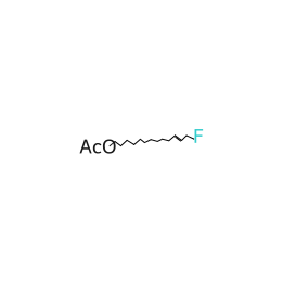 CC(=O)OCCCCCCCCCCC=CCCF